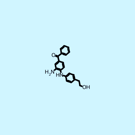 Nc1cc(C(=O)c2ccccc2)ccc1Nc1ccc(CCO)cc1